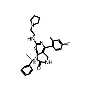 Cc1cc(F)ccc1-c1nc(NCCN2CCCC2)nc2c1CNC(=O)N2[C@@H](C)c1ccccc1